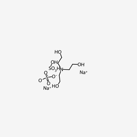 O=S(=O)(O)O.O=S(=O)([O-])[O-].OCCN(CCO)CCO.[Na+].[Na+]